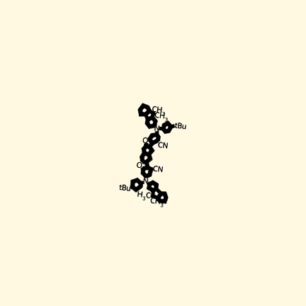 CC(C)(C)c1ccc(N(c2ccc3c(c2)C(C)(C)c2ccccc2-3)c2cc(C#N)c3c(c2)oc2cc4cc5oc6cc(N(c7ccc(C(C)(C)C)cc7)c7ccc8c(c7)C(C)(C)c7ccccc7-8)cc(C#N)c6c5cc4cc23)cc1